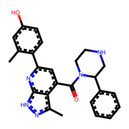 Cc1cc(O)ccc1-c1cc(C(=O)N2CCNCC2c2ccccc2)c2c(C)n[nH]c2n1